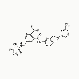 CC(C)(F)C(=O)NCc1cnc(C(F)F)c(C(=O)Nc2ccc3c(c2)CN(c2cccc(C(F)(F)F)c2)C3)c1